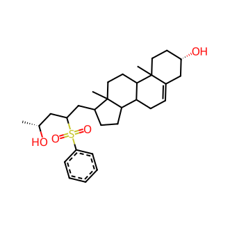 C[C@@H](O)CC(CC1CCC2C3CC=C4C[C@@H](O)CCC4(C)C3CCC12C)S(=O)(=O)c1ccccc1